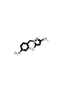 O=[N+]([O-])c1ccc(Cn2nc(C(F)(F)F)cc2C(F)(F)F)cc1